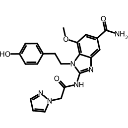 COc1cc(C(N)=O)cc2nc(NC(=O)Cn3cccn3)n(CCc3ccc(O)cc3)c12